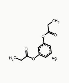 CCC(=O)Oc1cccc(OC(=O)CC)c1.[Ag]